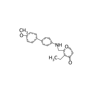 CCc1c(CNc2ccc(-c3ccc(OC)cc3)cc2)occc1=O